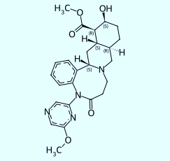 COC(=O)[C@@H]1[C@H]2C[C@H]3c4ccccc4N(c4cncc(OC)n4)C(=O)CCN3C[C@@H]2CC[C@@H]1O